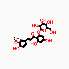 COc1cc(/C=C/C(=O)c2c(O)cc(O)cc2OC2OC(CO)C(O)C(O)C2O)ccc1O